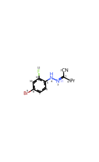 CC(C)/C(C#N)=N/Nc1ccc(Br)cc1F